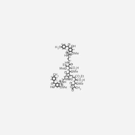 CCOC(=O)C(C(CC1C(=O)N(CCCNS(=O)(=O)c2cc(C(=O)c3ccc(C)cc3)c(O)cc2OC)C(=O)C1C(CC(C(=O)O)C(C(=O)NCCCNS(=O)(=O)c1cc(C(=O)c2ccc(C)cc2)c(O)cc1OC)C(CC)OC)OC)OC)C(CC(OC)C1C(=O)OC(=O)C1C)C(=O)O